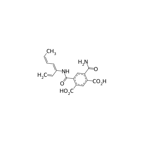 C=C/C(=C\C=C/C)NC(=O)c1cc(C(N)=O)c(C(=O)O)cc1C(=O)O